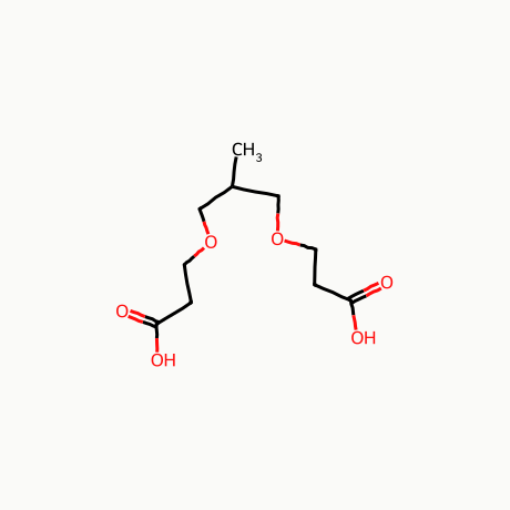 CC(COCCC(=O)O)COCCC(=O)O